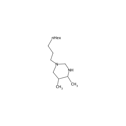 CCCCCCCCCN1CNC(C)C(C)C1